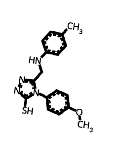 COc1ccc(-n2c(S)nnc2CNc2ccc(C)cc2)cc1